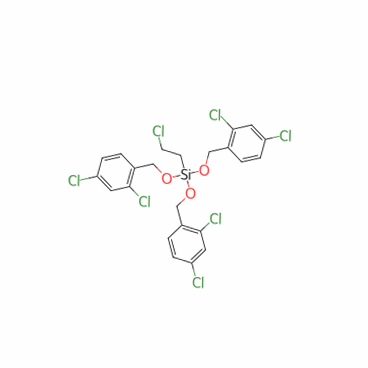 ClCC[Si](OCc1ccc(Cl)cc1Cl)(OCc1ccc(Cl)cc1Cl)OCc1ccc(Cl)cc1Cl